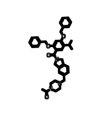 CC(=O)N1CCN(Cc2ccc3c(c2)CN(C(=O)c2cc(C(C)C)c(OCc4ccccc4)cc2OCc2ccccc2)C3)CC1